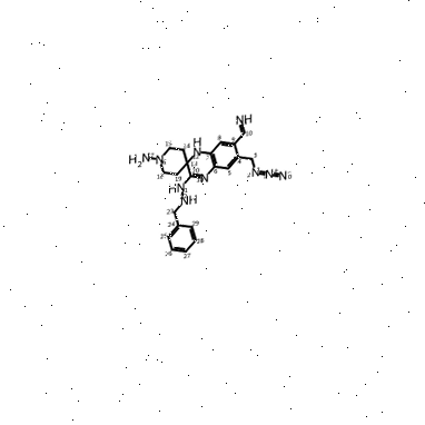 [N-]=[N+]=NCc1cc2c(cc1C=N)NC1(CCN(N)CC1)C(NNCc1ccccc1)=N2